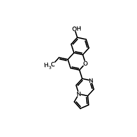 C/C=C1\C=C(c2cn3cccc3cn2)Oc2ccc(O)cc21